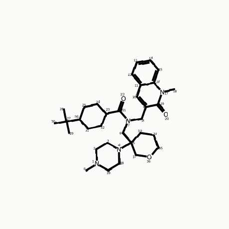 CN1CCN(C2(CN(Cc3cc4ccccc4n(C)c3=O)C(=O)C3CCC(C(C)(C)C)CC3)CCCOC2)CC1